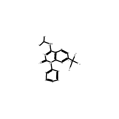 CC(C)Nc1nc(=O)n(-c2ccccc2)c2cc(C(F)(F)F)ccc12